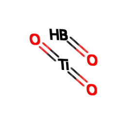 B=O.[O]=[Ti]=[O]